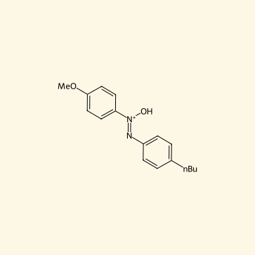 CCCCc1ccc(/N=[N+](\O)c2ccc(OC)cc2)cc1